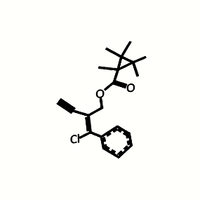 C#CC(COC(=O)C1(C)C(C)(C)C1(C)C)=C(Cl)c1ccccc1